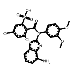 COc1ccc(N(C(=O)c2c(Cl)cc(Cl)cc2S(=O)(=O)O)c2nc3c(N)cccc3s2)cc1OC